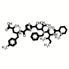 CCC(C)C(NC(=O)C1CCCCN1C)C(=O)N(Cc1ccccc1)C(CC(O)c1nc(C(=O)NC(Cc2ccc(C)cc2)CC(C)C(=O)O)cs1)C(C)C